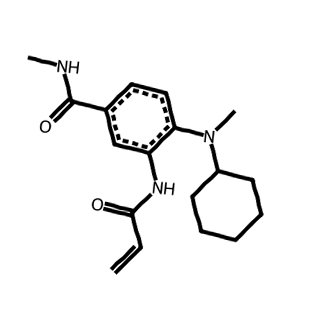 C=CC(=O)Nc1cc(C(=O)NC)ccc1N(C)C1CCCCC1